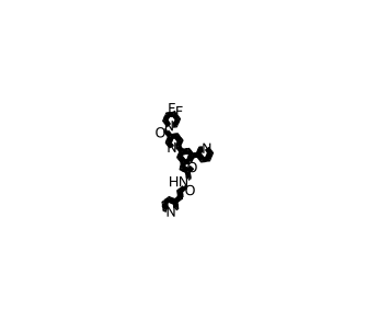 O=C(/C=C/c1cccnc1)NCc1cc2cc(-c3ccc(C(=O)N4CCC(F)(F)CC4)cn3)cc(-c3cccnc3)c2o1